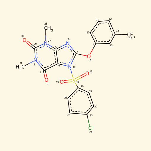 Cn1c(=O)c2c(nc(Oc3cccc(C(F)(F)F)c3)n2S(=O)(=O)c2ccc(Cl)cc2)n(C)c1=O